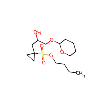 CCCCOS(=O)(=O)C1(C[C@@H](O)COC2CCCCO2)CC1